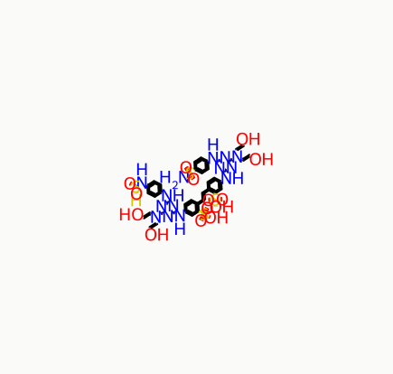 NS(=O)(=O)c1ccc(Nc2nc(Nc3ccc(C=Cc4ccc(Nc5nc(Nc6ccc(N[SH](=O)=O)cc6)nc(N(CCO)CCO)n5)cc4S(=O)(=O)O)c(S(=O)(=O)O)c3)nc(N(CCO)CCO)n2)cc1